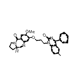 COc1cc2c(cc1OCCCn1c(=O)nc(-c3ccccc3)c3cc(C)ccc31)N=C[C@@H]1CCCN1C2=O